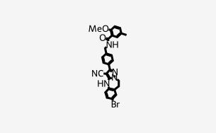 COc1ccc(C)cc1C(=O)NCc1ccc(-c2nn3c(c2C#N)Nc2ccc(Br)cc2CC3)cc1